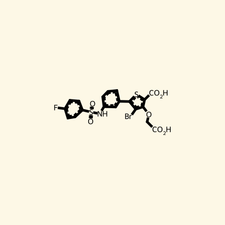 O=C(O)COc1c(C(=O)O)sc(-c2cccc(NS(=O)(=O)c3ccc(F)cc3)c2)c1Br